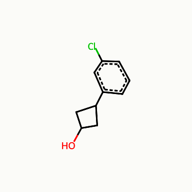 OC1CC(c2cccc(Cl)c2)C1